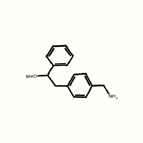 COC([CH]c1ccc(CN)cc1)c1ccccc1